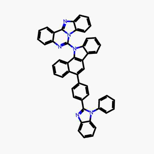 c1ccc(-n2c(-c3ccc(-c4cc5c6ccccc6n(-c6nc7ccccc7c7nc8ccccc8n67)c5c5ccccc45)cc3)nc3ccccc32)cc1